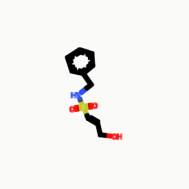 O=S(=O)(C=CCO)NCc1ccccc1